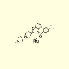 COc1ccc(C(=O)N(CC(=O)N2CCN(C3CCN(C)CC3)CC2)c2ccccc2)cc1.Cl.Cl